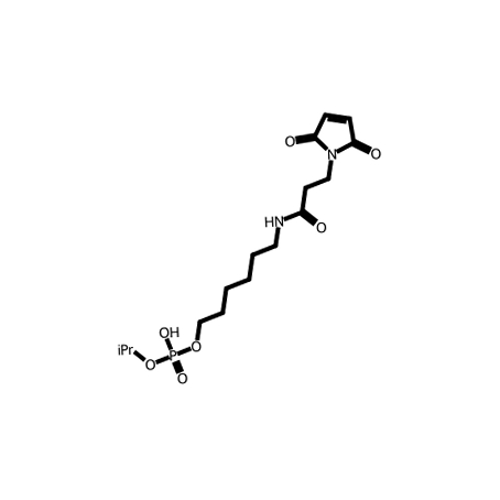 CC(C)OP(=O)(O)OCCCCCCNC(=O)CCN1C(=O)C=CC1=O